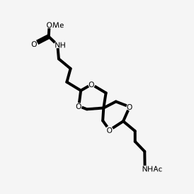 COC(=O)NCCCC1OCC2(COC(CCCNC(C)=O)OC2)CO1